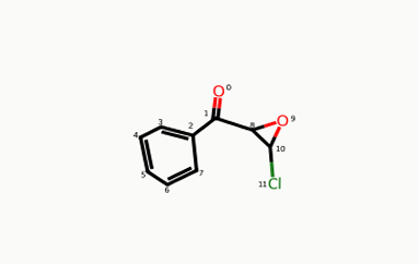 O=C(c1ccccc1)C1OC1Cl